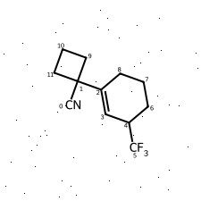 N#CC1(C2=CC(C(F)(F)F)CCC2)CCC1